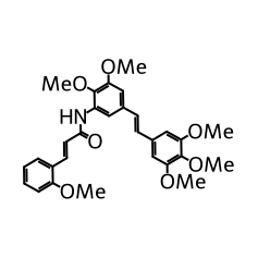 COc1ccccc1/C=C/C(=O)Nc1cc(C=Cc2cc(OC)c(OC)c(OC)c2)cc(OC)c1OC